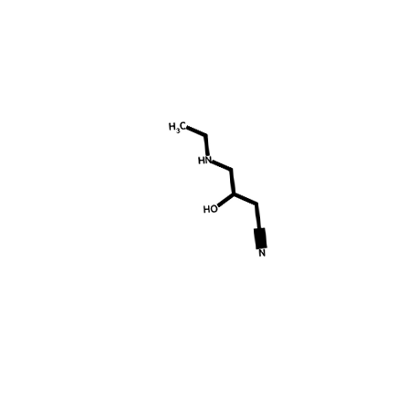 CCNCC(O)CC#N